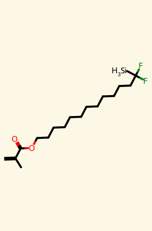 C=C(C)C(=O)OCCCCCCCCCCCCC(F)(F)[SiH3]